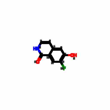 O=c1[nH]ccc2cc(O)c(F)cc12